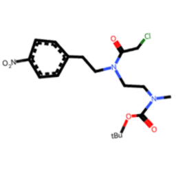 CN(CCN(CCc1ccc([N+](=O)[O-])cc1)C(=O)CCl)C(=O)OC(C)(C)C